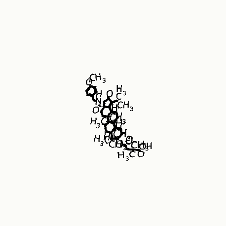 COc1ccc(CNC(=O)[C@@]23CC[C@]4(C)[C@H](CC[C@@H]5[C@@]6(C)CC[C@H](OC(=O)CC(C)(C)C(=O)O)C(C)(C)[C@@H]6CC[C@]54C)C2=C(C(C)C)C(=O)C3)cc1